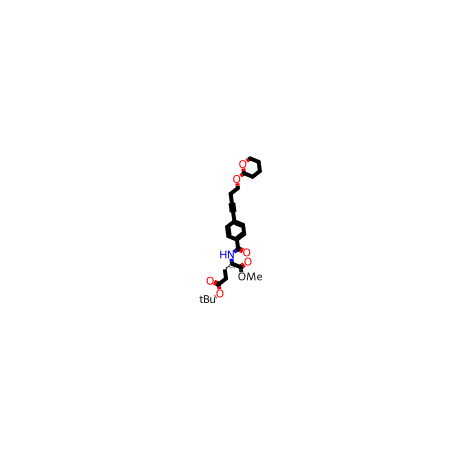 COC(=O)[C@H](CCC(=O)OC(C)(C)C)NC(=O)c1ccc(C#CCCOC2CCCCO2)cc1